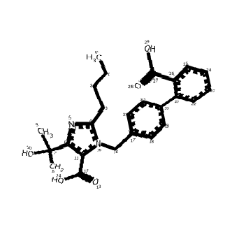 CCCCc1nc(C(C)(C)O)c(C(=O)O)n1Cc1ccc(-c2ccccc2C(=O)O)cc1